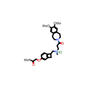 CNC(=O)COc1ccc2c(c1)CC2CN(C)CCC(=O)N1CCc2cc(OC)c(OC)cc2CC1.Cl